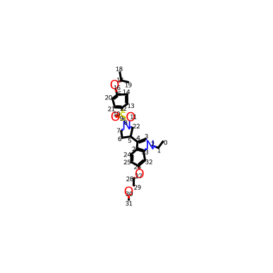 CCn1cc(C2CCN(S(=O)(=O)c3ccc(OC(C)C)cc3)C2)c2ccc(OCCOC)cc21